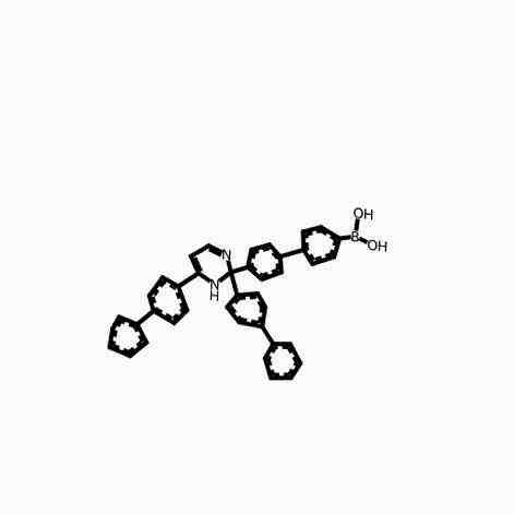 OB(O)c1ccc(-c2ccc(C3(c4ccc(-c5ccccc5)cc4)N=CC=C(c4ccc(-c5ccccc5)cc4)N3)cc2)cc1